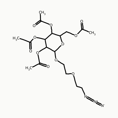 CC(=O)OCC1OC(OCCOCCN=[N+]=[N-])C(OC(C)=O)C(OC(C)=O)C1OC(C)=O